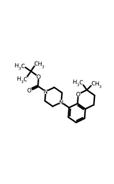 CC(C)(C)OC(=O)N1CCN(c2cccc3c2OC(C)(C)CC3)CC1